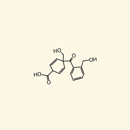 O=C(O)C1C=CC(CO)(C(=O)c2ccccc2CO)C=C1